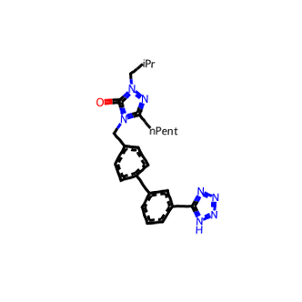 CCCCCc1nn(CC(C)C)c(=O)n1Cc1ccc(-c2cccc(-c3nnn[nH]3)c2)cc1